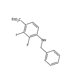 CCOC(=O)c1ccc(NCc2ccccc2)c(F)c1I